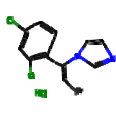 CC(C)C=C(c1ccc(Cl)cc1Cl)n1ccnc1.Cl